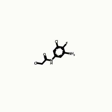 Nc1cc(NC(=O)CCl)cc(Cl)c1F